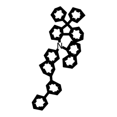 c1ccc(-c2cccc(-c3ccc4ccc(N(c5cccc6c5-c5ccccc5C6(c5ccccc5)c5ccccc5)c5cccc6ccccc56)cc4c3)c2)cc1